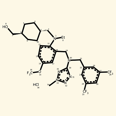 CCN(C[C@H]1CC[C@H](CO)CC1)c1ccc(OC(F)(F)F)cc1CN(Cc1cc(C(F)(F)F)cc(C(F)(F)F)c1)c1nnn(C)n1.Cl